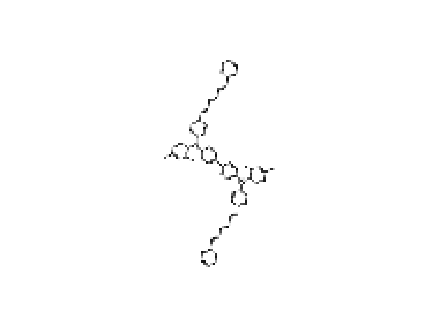 Cc1ccc(N(c2ccc(C=CC=CC=Cc3ccccc3)cc2)c2ccc(-c3ccc(N(c4ccc(C=CC=CC=Cc5ccccc5)cc4)c4ccc(C)cc4C)cc3)cc2)c(C)c1